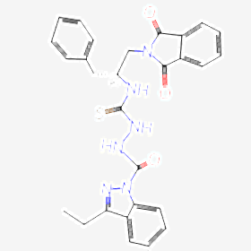 CCc1nn(C(=O)NNC(=S)N[C@H](Cc2ccccc2)CN2C(=O)c3ccccc3C2=O)c2cc[c]cc12